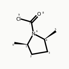 C[C@@H]1CC[C@H](C)N1C(=O)Cl